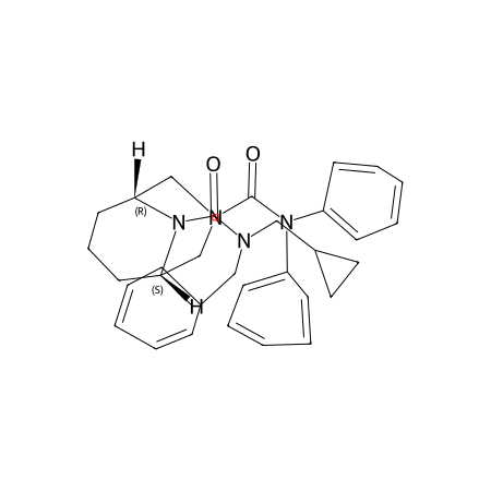 O=C(N1C[C@H]2CCC[C@@H](C1)N2C(=O)N(Cc1ccccc1)CC1CC1)N(c1ccccc1)c1ccccc1